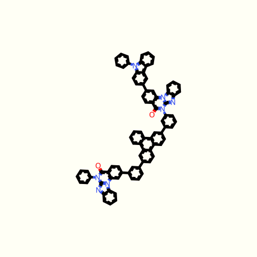 O=c1c2ccc(-c3cccc(-c4ccc5c6ccc(-c7cccc(-n8c(=O)c9ccc(-c%10ccc%11c(c%10)c%10ccccc%10n%11-c%10ccccc%10)cc9n9c%10ccccc%10nc89)c7)cc6c6ccccc6c5c4)c3)cc2n2c3ccccc3nc2n1-c1ccccc1